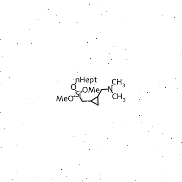 CCCCCCCO[Si](CC1CC1CN(C)C)(OC)OC